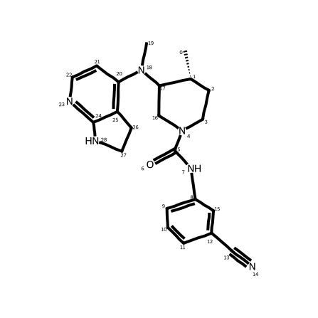 C[C@@H]1CCN(C(=O)Nc2cccc(C#N)c2)CC1N(C)c1ccnc2c1CCN2